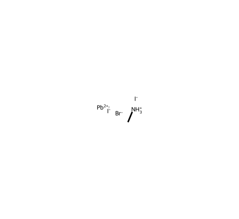 C[NH3+].[Br-].[I-].[I-].[Pb+2]